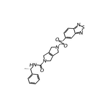 C[C@H](NC(=O)N1CC2=C(C1)CN(S(=O)(=O)c1ccc3nsnc3c1)C2)c1ccccc1